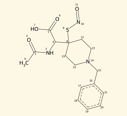 CC(=O)NC(C(=O)O)C1(SN=O)CCN(Cc2ccccc2)CC1